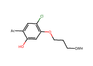 COCCCOc1cc(O)c(C(C)=O)cc1Cl